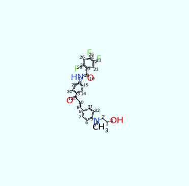 CN(CCO)c1ccc(/C=C/C(=O)c2ccc(NC(=O)c3cc(F)c(F)cc3F)cc2)cc1